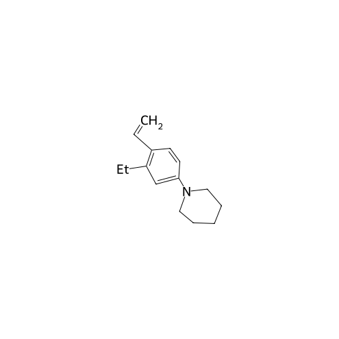 C=Cc1ccc(N2CCCCC2)cc1CC